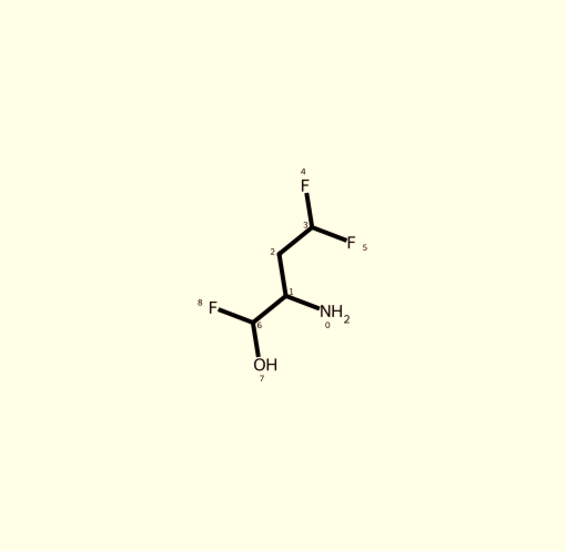 NC(CC(F)F)C(O)F